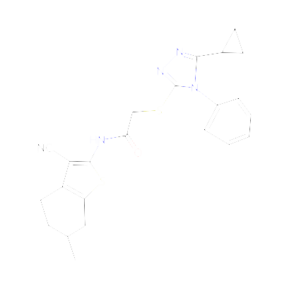 CC1CCc2c(sc(NC(=O)CSc3nnc(C4CC4)n3-c3ccccc3)c2C#N)C1